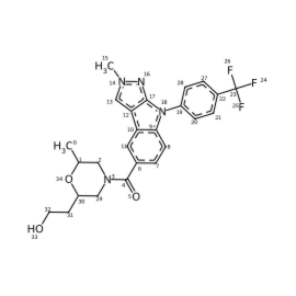 CC1CN(C(=O)c2ccc3c(c2)c2cn(C)nc2n3-c2ccc(C(F)(F)F)cc2)CC(CCO)O1